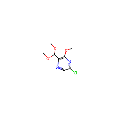 COc1nc(Cl)cnc1C(OC)OC